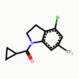 O=C(C1CC1)N1CCc2c(Br)cc(C(F)(F)F)cc21